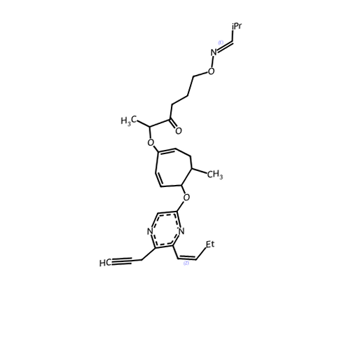 C#CCc1ncc(OC2C=CC(OC(C)C(=O)CCCO/N=C/C(C)C)=CCC2C)nc1/C=C\CC